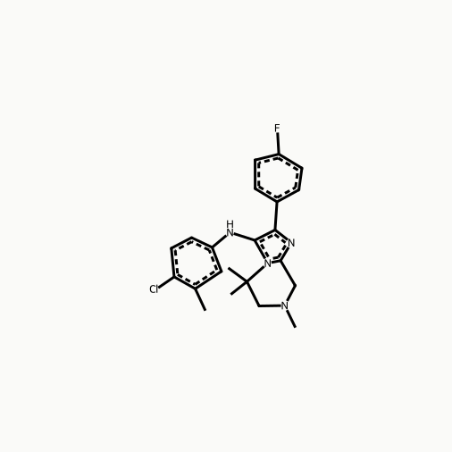 Cc1cc(Nc2c(-c3ccc(F)cc3)nc3n2C(C)(C)CN(C)C3)ccc1Cl